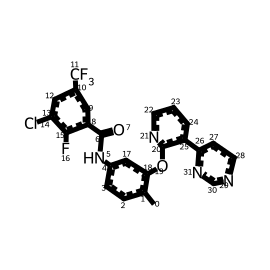 Cc1ccc(NC(=O)c2cc(C(F)(F)F)cc(Cl)c2F)cc1Oc1ncccc1-c1ccncn1